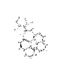 C[C@@H]1CCC[C@H](C)N1p1oc2ccc3ccccc3c2c2c(ccc3ccccc32)o1